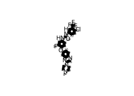 CN1CCN(c2cnc3ccc(Oc4ccc(NC(=O)Nc5ccc(Cl)c(C(F)(F)F)c5)cc4F)cc3n2)CC1